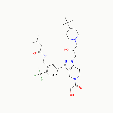 CC(C)CC(=O)NCc1cc(-c2nn(CC(O)CN3CCC(C(C)(C)C)CC3)c3c2CN(C(=O)CO)CC3)ccc1C(F)(F)F